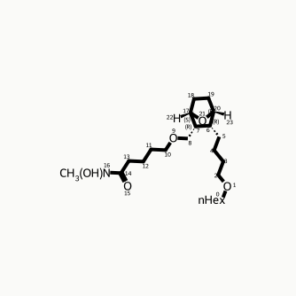 CCCCCCOCCCC[C@@H]1[C@H](COCCCCC(=O)N(C)O)[C@@H]2CC[C@H]1O2